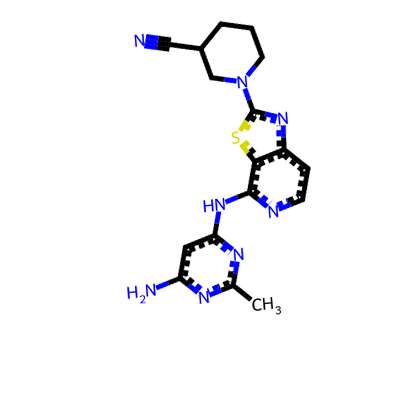 Cc1nc(N)cc(Nc2nccc3nc(N4CCCC(C#N)C4)sc23)n1